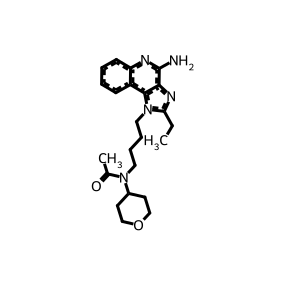 CCc1nc2c(N)nc3ccccc3c2n1CCCCN(C(C)=O)C1CCOCC1